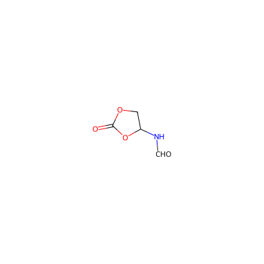 O=CNC1COC(=O)O1